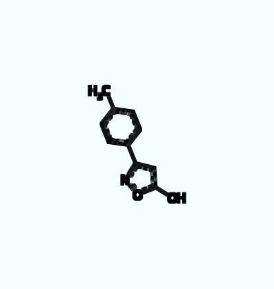 Cc1ccc(-c2cc(O)on2)cc1